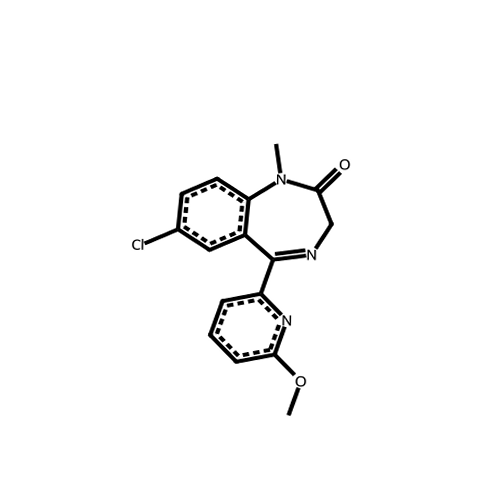 COc1cccc(C2=NCC(=O)N(C)c3ccc(Cl)cc32)n1